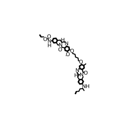 C=CCCC(C)Nc1ccc2c(c1)CN1C(=O)c3cc(C)c(OCCCCCOc4cc5c(cc4OC)C(=O)N4Cc6cc(NC(=O)OCC=C)ccc6C[C@H]4C=N5)cc3N=C[C@@H]1C2